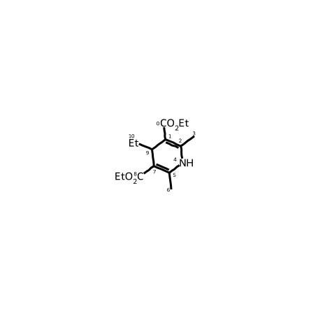 CCOC(=O)C1=C(C)NC(C)=C(C(=O)OCC)C1CC